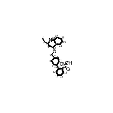 CCc1cc(OCc2ccc(-c3ccccc3S(=O)(=O)O)cc2)c2ccccc2n1